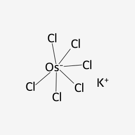 [Cl][Os-]([Cl])([Cl])([Cl])([Cl])[Cl].[K+]